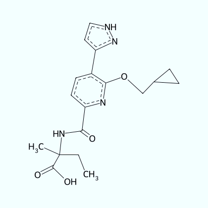 CCC(C)(NC(=O)c1ccc(-c2cc[nH]n2)c(OCC2CC2)n1)C(=O)O